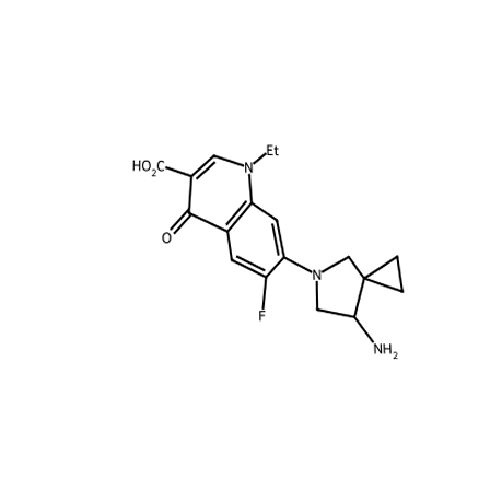 CCn1cc(C(=O)O)c(=O)c2cc(F)c(N3CC(N)C4(CC4)C3)cc21